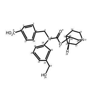 O=C(O)c1ccc(CN(C(=O)O[C@H]2CN3CCC2CC3)c2cccc(CO)c2)cc1